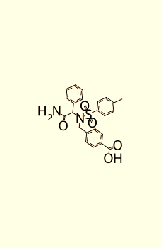 Cc1ccc(S(=O)(=O)N(Cc2ccc(C(=O)O)cc2)C(C(N)=O)c2ccccc2)cc1